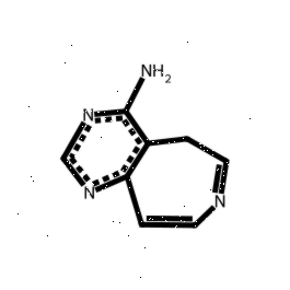 Nc1ncnc2c1CC=NC=C2